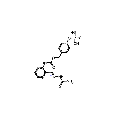 NC(=S)N/N=C/c1ncccc1NC(=O)OCc1ccc(O[PH](O)(O)O)cc1